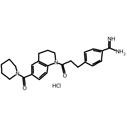 Cl.N=C(N)c1ccc(CCC(=O)N2CCCc3cc(C(=O)N4CCCCC4)ccc32)cc1